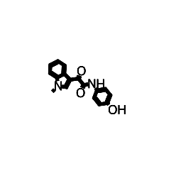 Cn1cc(C(=O)C(=O)Nc2ccc(O)cc2)c2ccccc21